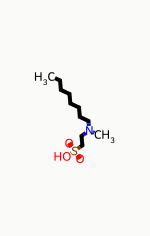 CCCCCCCCN(C)CCS(=O)(=O)O